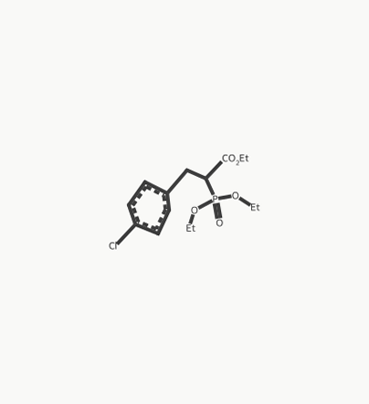 CCOC(=O)C(Cc1ccc(Cl)cc1)P(=O)(OCC)OCC